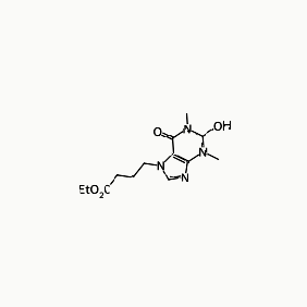 CCOC(=O)CCCn1cnc2c1C(=O)N(C)C(O)N2C